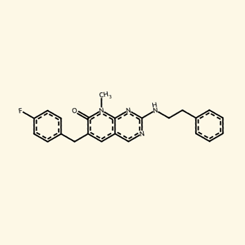 Cn1c(=O)c(Cc2ccc(F)cc2)cc2cnc(NCCc3ccccc3)nc21